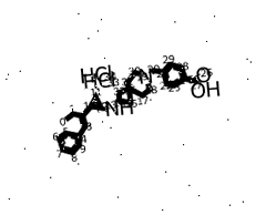 CCC(=Cc1ccccc1)C1C[C@@H]1NC1CC2(CCN(Cc3ccc(C(=O)O)cc3)CC2)C1.Cl.Cl